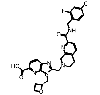 O=C(O)c1ccc2nc(CN3CCc4ccc(C(=O)NCc5ccc(Cl)cc5F)nc4C3)n(C[C@@H]3CCO3)c2n1